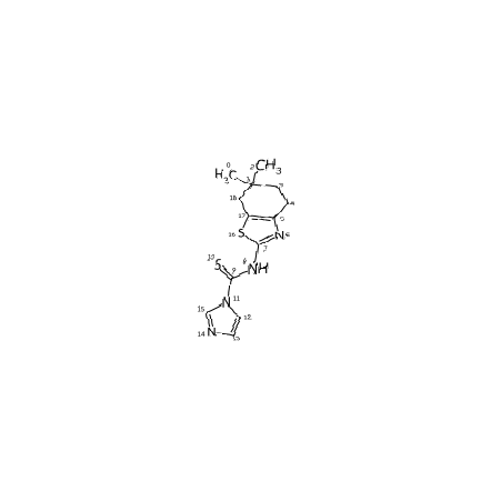 CC1(C)CCc2nc(NC(=S)n3ccnc3)sc2C1